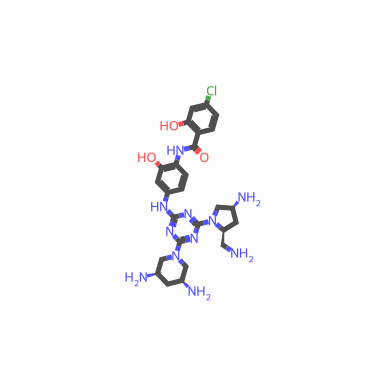 NC[C@@H]1C[C@H](N)CN1c1nc(Nc2ccc(NC(=O)c3ccc(Cl)cc3O)c(O)c2)nc(N2C[C@H](N)C[C@H](N)C2)n1